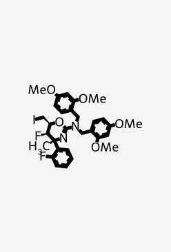 COc1ccc(CN(Cc2ccc(OC)cc2OC)C2=N[C@](C)(c3ccccc3F)[C@@H](F)[C@@H](CI)O2)c(OC)c1